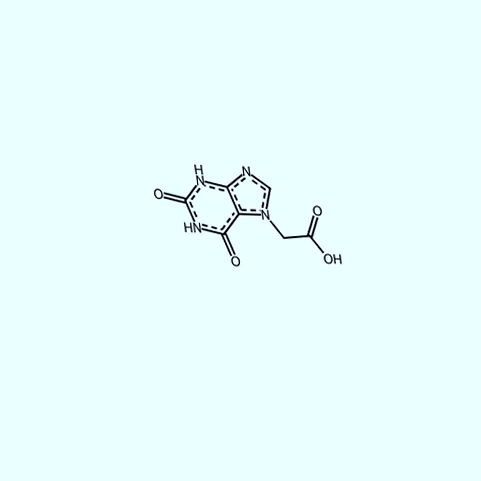 O=C(O)Cn1cnc2[nH]c(=O)[nH]c(=O)c21